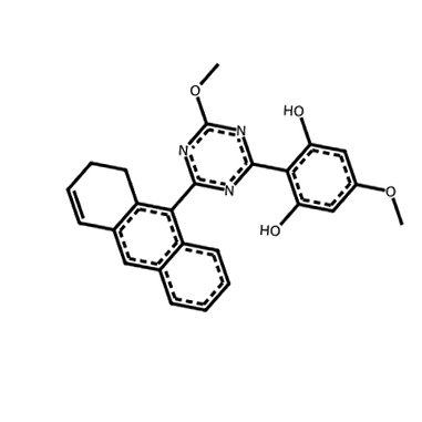 COc1cc(O)c(-c2nc(OC)nc(-c3c4c(cc5ccccc35)C=CCC4)n2)c(O)c1